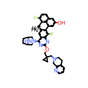 C#Cc1c(F)ccc2cc(O)cc(-c3c(C)cc4c(N5CC6CCC(C5)N6)nc(OCC5(CN6CCc7cccnc7C6)CC5)nc4c3F)c12